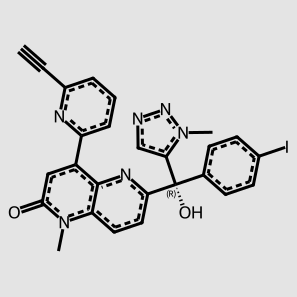 C#Cc1cccc(-c2cc(=O)n(C)c3ccc([C@](O)(c4ccc(I)cc4)c4cnnn4C)nc23)n1